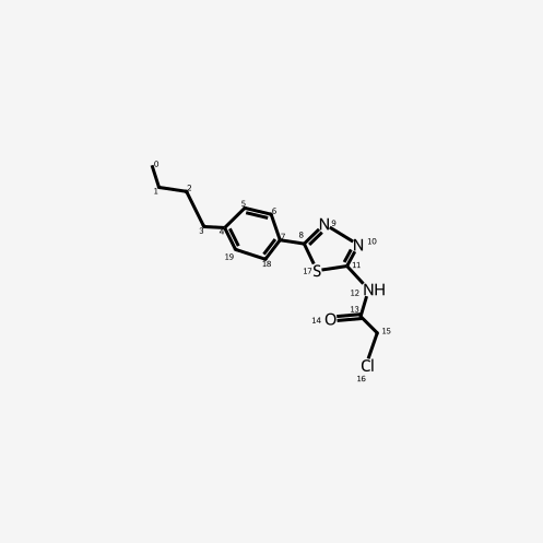 CCCCc1ccc(-c2nnc(NC(=O)CCl)s2)cc1